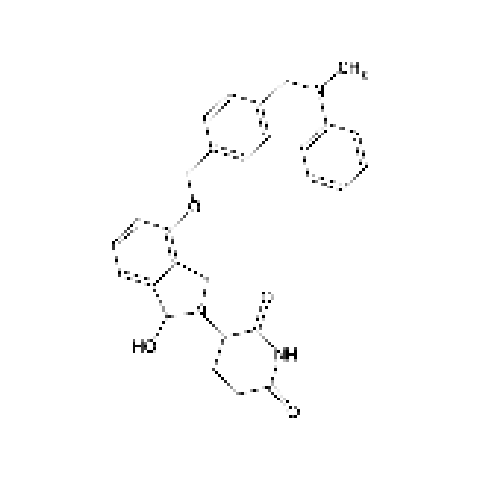 CN(Cc1ccc(COc2cccc3c2CN(C2CCC(=O)NC2=O)C3O)cc1)c1ccccc1